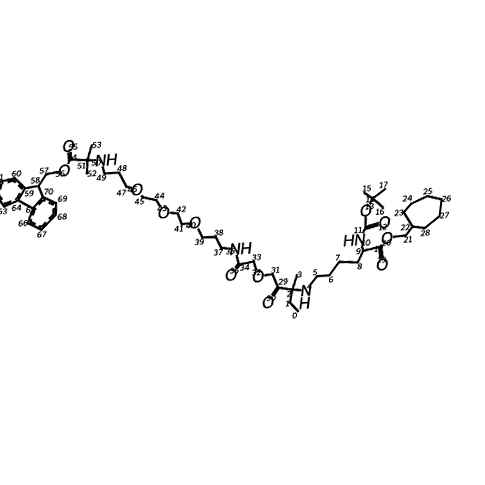 CCC(C)(NCCCCC(NC(=O)OC(C)(C)C)C(=O)OCC1CCCCCC1)C(=O)COCC(=O)NCCCOCCOCCOCCCNC(C)(C)C(=O)OCC1c2ccccc2-c2ccccc21